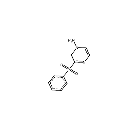 NN1C=CN=C(S(=O)(=O)c2ccccc2)C1